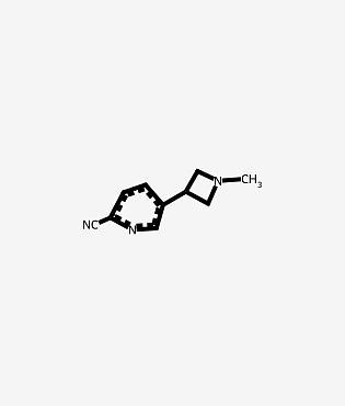 CN1CC(c2ccc(C#N)nc2)C1